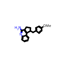 COc1ccc(CC2CCc3c(N)nc4ccccc4c32)cc1